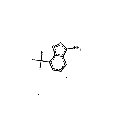 Nc1noc2c(C(F)(F)F)cccc12